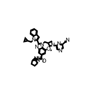 COc1cc(C(=O)N2CC3CCC2[C@@H]3N)cc2nc(-c3cc4ccccc4n3CC3CC3)n(CC3CN(c4cncc(C#N)n4)C3)c12